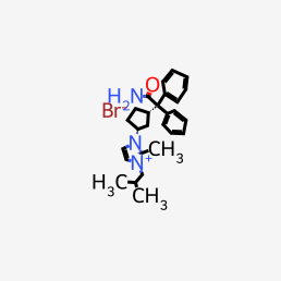 Cc1n([C@@H]2CC[C@H](C(C(N)=O)(c3ccccc3)c3ccccc3)C2)cc[n+]1CC(C)C.[Br-]